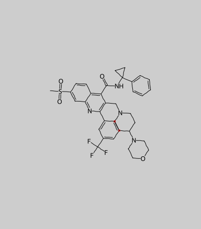 CS(=O)(=O)c1ccc2c(C(=O)NC3(c4ccccc4)CC3)c(CN3CCC(N4CCOCC4)CC3)c(-c3cccc(C(F)(F)F)c3)nc2c1